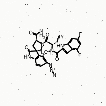 CC(C)C[C@@H](C(=O)N1C[C@]2(C[C@H]1C(N)=O)C(=O)Nc1ccc(N=[N+]=[N-])cc12)N(C)C(=O)c1cc2c(F)cc(F)cc2[nH]1